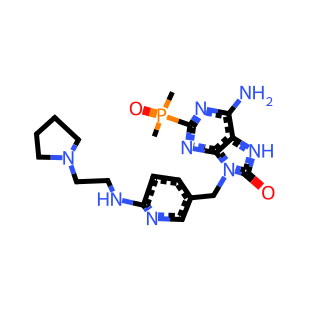 CP(C)(=O)c1nc(N)c2[nH]c(=O)n(Cc3ccc(NCCN4CCCC4)nc3)c2n1